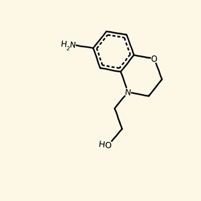 Nc1ccc2c(c1)N(CCO)CCO2